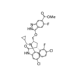 COC(=O)c1cc2n[nH]c(OC[C@H]3C[C@H](c4cccc(Cl)c4F)[C@]4(C(=O)Nc5cc(Cl)ccc54)N3CC3CC3)c2cc1F